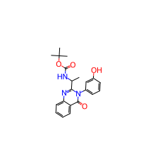 CC(NC(=O)OC(C)(C)C)c1nc2ccccc2c(=O)n1-c1cccc(O)c1